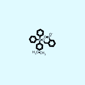 CC.O=[N+]([O-])c1ccccc1CO[Si](c1ccccc1)(c1ccccc1)c1ccccc1